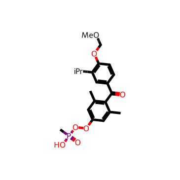 COCOc1ccc(C(=O)c2c(C)cc(OOP(C)(=O)O)cc2C)cc1C(C)C